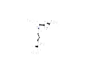 CC(C)(C)OC(=O)NCCCO/N=C(/C(=O)O)c1nsc(N)n1